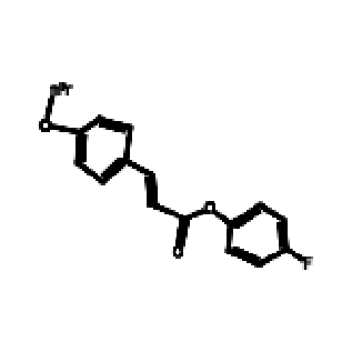 CCCOc1ccc(C=CC(=O)Oc2ccc(F)cc2)cc1